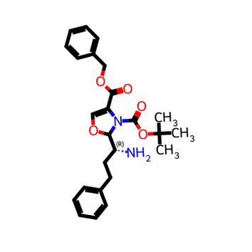 CC(C)(C)OC(=O)N1C(C(=O)OCc2ccccc2)=COC1[C@H](N)CCc1ccccc1